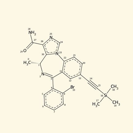 C[C@H]1N=C(c2ccccc2Br)c2cc(C#C[Si](C)(C)C)ccc2-n2cnc(C(N)=O)c21